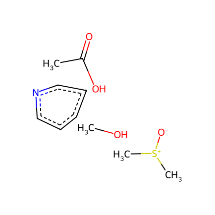 CC(=O)O.CO.C[S+](C)[O-].c1ccncc1